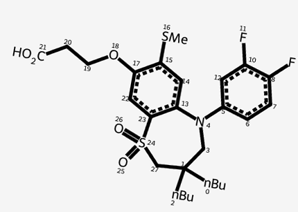 CCCCC1(CCCC)CN(c2ccc(F)c(F)c2)c2cc(SC)c(OCCC(=O)O)cc2S(=O)(=O)C1